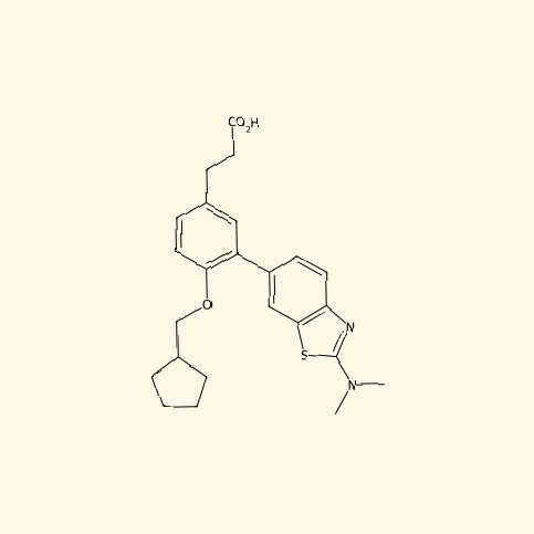 CN(C)c1nc2ccc(-c3cc(CCC(=O)O)ccc3OCC3CCCC3)cc2s1